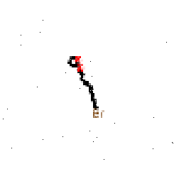 BrCCCCCCCC#CCCCOC1CCCCO1